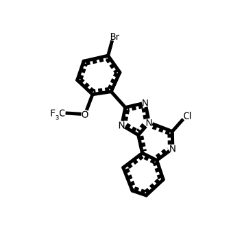 FC(F)(F)Oc1ccc(Br)cc1-c1nc2c3ccccc3nc(Cl)n2n1